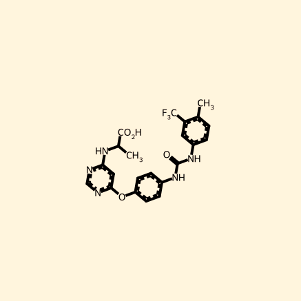 Cc1ccc(NC(=O)Nc2ccc(Oc3cc(NC(C)C(=O)O)ncn3)cc2)cc1C(F)(F)F